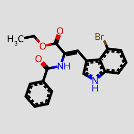 CCOC(=O)C(=Cc1c[nH]c2cccc(Br)c12)NC(=O)c1ccccc1